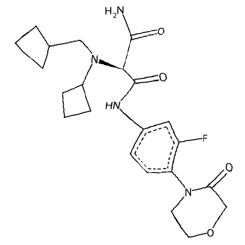 NC(=O)[C@@H](C(=O)Nc1ccc(N2CCOCC2=O)c(F)c1)N(CC1CCC1)C1CCC1